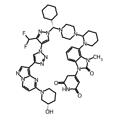 Cn1c(=O)n(C2=CC(=O)NC(=O)C2)c2cccc(N3CCCCC3N3CCN([C@@H](C4CCCCC4)n4cc(-n5cc(-c6cnn7ccc(N8CCC[C@H](O)C8)nc67)nn5)c(C(F)F)n4)CC3)c21